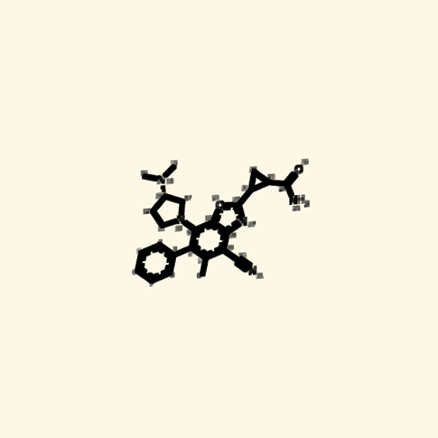 Cc1c(-c2ccccc2)c(N2CC[C@H](N(C)C)C2)c2oc(C3CC3C(N)=O)nc2c1C#N